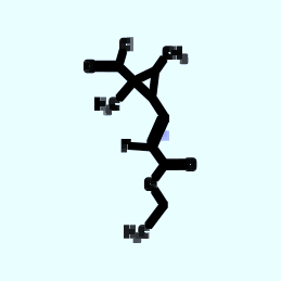 CCOC(=O)/C(F)=C/C1C(C)C1(C)C(=O)Cl